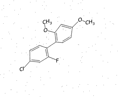 COc1ccc(-c2ccc(Cl)cc2F)c(OC)c1